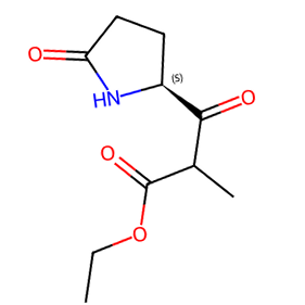 CCOC(=O)C(C)C(=O)[C@@H]1CCC(=O)N1